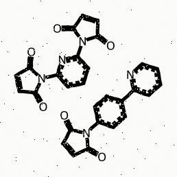 O=C1C=CC(=O)N1c1ccc(-c2ccccn2)cc1.O=C1C=CC(=O)N1c1cccc(N2C(=O)C=CC2=O)n1